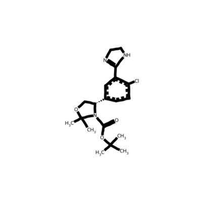 CC(C)(C)OC(=O)N1[C@@H](c2ccc(Cl)c(C3=NCCN3)c2)COC1(C)C